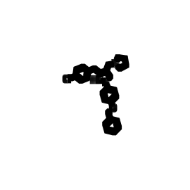 Clc1ccc(CC2=C(CN3CCCC3)CN(c3ccc(OCc4ccccc4)cc3)N2)cc1